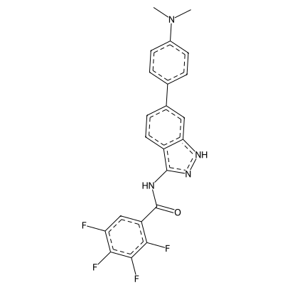 CN(C)c1ccc(-c2ccc3c(NC(=O)c4cc(F)c(F)c(F)c4F)n[nH]c3c2)cc1